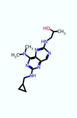 CC(O)CNc1ncc2nc(NCC3CC3)nc(N(C)C)c2n1